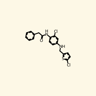 O=C(Cc1ccccc1)Nc1ccc(NCc2ccc(Cl)s2)cc1Cl